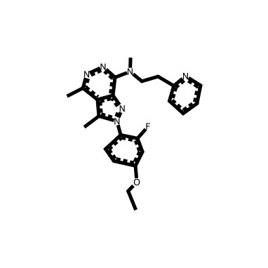 CCOc1ccc(-n2nc3c(N(C)CCc4ccccn4)nnc(C)c3c2C)c(F)c1